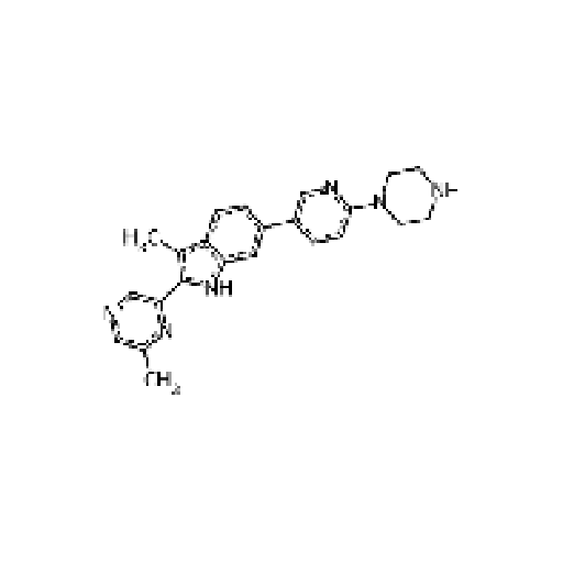 Cc1cncc(-c2[nH]c3cc(-c4ccc(N5CCNCC5)nc4)ccc3c2C)n1